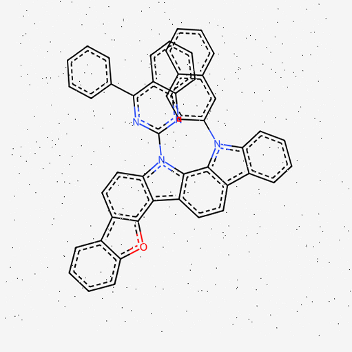 c1ccc(-c2nc(-n3c4ccc5c6ccccc6oc5c4c4ccc5c6ccccc6n(-c6ccc7ccccc7c6)c5c43)nc3ccccc23)cc1